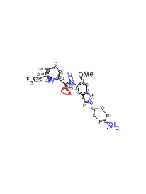 COc1cc2nn([C@H]3CC[C@H](N)CC3)cc2cc1NC(=O)c1cccc(C(F)(F)F)n1